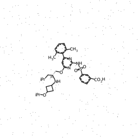 Cc1cccc(C)c1-c1cc(OC[C@@H](CC(C)C)NC2CC(OC(C)C)C2)nc(NS(=O)(=O)c2cccc(C(=O)O)c2)n1